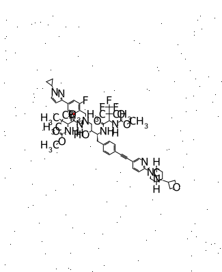 COC(=O)NC(C(=O)N[C@@H](Cc1ccc(C#Cc2ccc(N3C[C@H]4CC[C@@H]3CN4C3COC3)nc2)cc1)[C@@H](O)CN(Cc1c(F)cc(-c2ccn(C3CC3)n2)cc1F)NC(=O)[C@@H](NC(=O)OC)C(C)(C)C)C(C)(C)C(F)(F)F